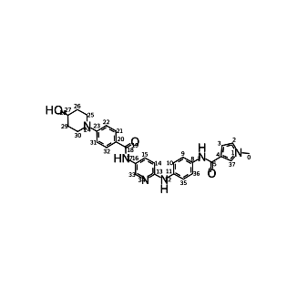 Cn1ccc(C(=O)Nc2ccc(Nc3ccc(NC(=O)c4ccc(N5CCC(O)CC5)cc4)cn3)cc2)c1